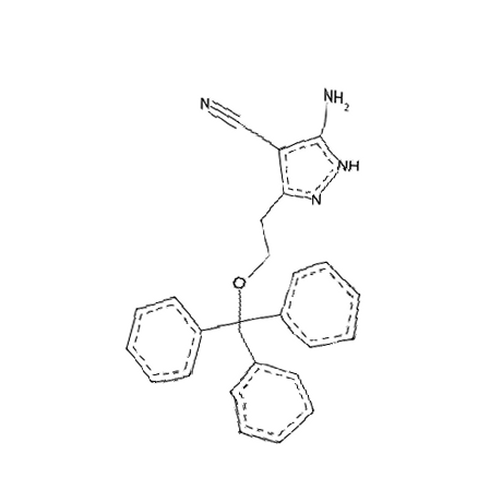 N#Cc1c(CCOC(c2ccccc2)(c2ccccc2)c2ccccc2)n[nH]c1N